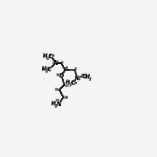 CN(C)CC(CN(C)C)OCCCN